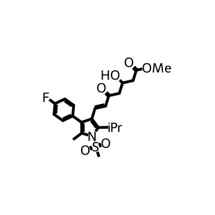 COC(=O)CC(O)CC(=O)C=Cc1c(-c2ccc(F)cc2)c(C)n(S(C)(=O)=O)c1C(C)C